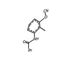 Cc1c(NC(=O)C(C)C)cccc1OC#N